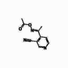 CC(=O)ON=C(C)c1ccncc1C#N